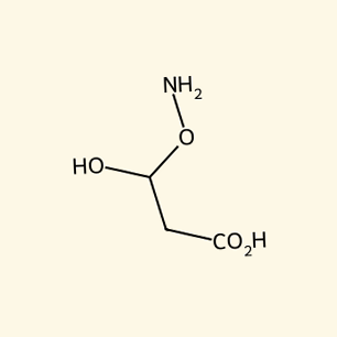 NOC(O)CC(=O)O